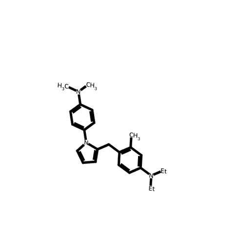 CCN(CC)c1ccc(Cc2cccn2-c2ccc(N(C)C)cc2)c(C)c1